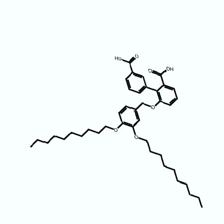 CCCCCCCCCCOc1ccc(COc2cccc(C(=O)O)c2-c2cccc(C(=O)O)c2)cc1OCCCCCCCCCC